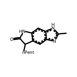 CCCCCC1C(=O)Nc2cc3[nH]c(C)nc3cc21